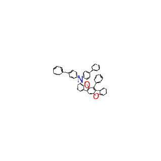 c1ccc(-c2ccc(N(c3ccc(-c4ccccc4)cc3)c3cccc4c3oc3c(-c5ccccc5)c5c(cc34)oc3ccccc35)cc2)cc1